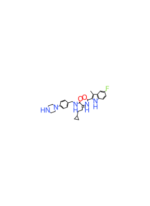 Cc1c(C(=O)N[C@@H](CCC2CC2)C(=O)NCc2ccc(N3CCNCC3)cc2)[nH]c2ccc(F)cc12